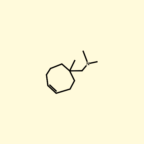 CN(C)CC1(C)CCC=CCCC1